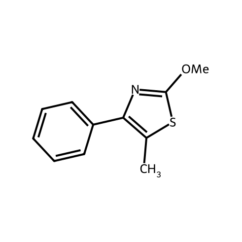 COc1nc(-c2ccccc2)c(C)s1